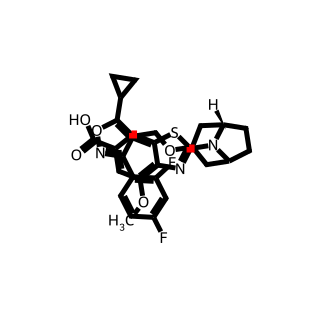 COc1cc(C(=O)O)cc2sc(N3C4CC[C@H]3CC(OCc3c(-c5ccc(F)cc5F)noc3C3CC3)C4)nc12